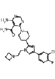 NC(=O)c1c(N)ncnc1N1CCC(c2nc(-c3ccc(F)c(Cl)c3)cn2CCN2CCC2)CC1